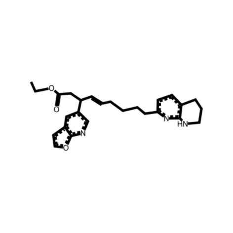 CCOC(=O)CC(C=CCCCCc1ccc2c(n1)NCCC2)c1cnc2occc2c1